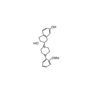 COc1ccccc1N1CCN([C@@H]2Cc3cc(O)ccc3C[C@H]2O)CC1